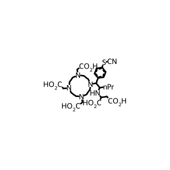 CCCC(NC(CC(=O)O)C(=O)O)C(c1ccc(SC#N)cc1)N1CCN(CC(=O)O)CCN(CC(=O)O)CCN(CC(=O)O)CC1